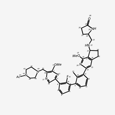 COc1nc(-c2cccc(-c3cccc(-c4cc5c(c(OC)n4)C(NCC4CCC(=O)N4)CC5)c3C)c2F)cnc1CN1CCN(C(C)=O)CC1